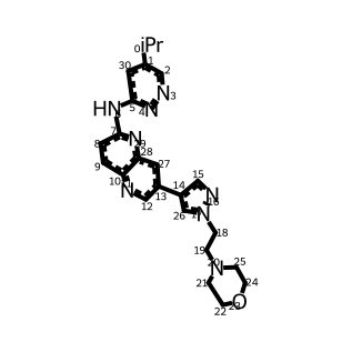 CC(C)c1cnnc(Nc2ccc3ncc(-c4cnn(CCN5CCOCC5)c4)cc3n2)c1